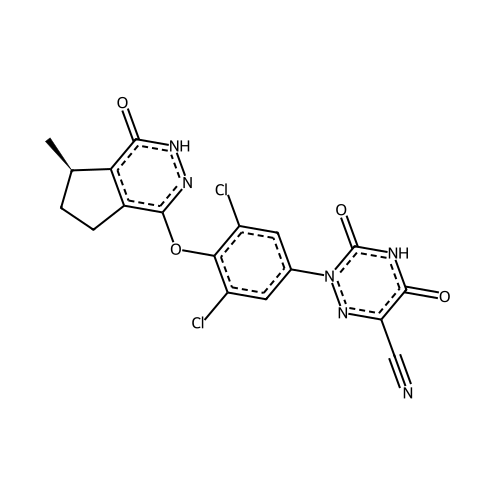 C[C@@H]1CCc2c(Oc3c(Cl)cc(-n4nc(C#N)c(=O)[nH]c4=O)cc3Cl)n[nH]c(=O)c21